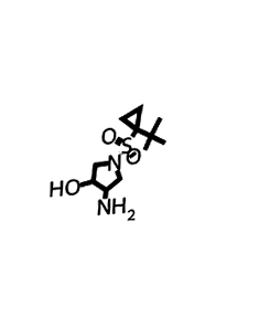 CC(C)(C)C1(S(=O)(=O)N2CC(N)C(O)C2)CC1